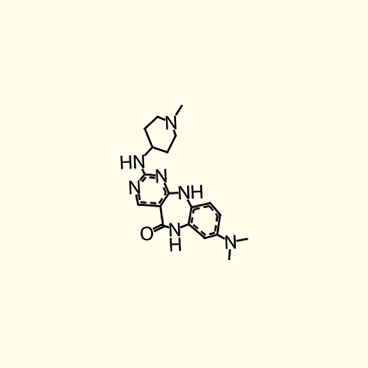 CN1CCC(Nc2ncc3c(n2)Nc2ccc(N(C)C)cc2NC3=O)CC1